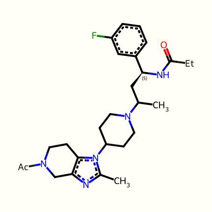 CCC(=O)N[C@@H](CC(C)N1CCC(n2c(C)nc3c2CCN(C(C)=O)C3)CC1)c1cccc(F)c1